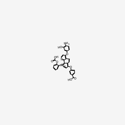 Nc1ccc(Oc2ccnc3c2ccc2c(Oc4ccc(C(=O)O)cc4)ccnc23)cc1O.Nc1ccccc1OC(=O)O